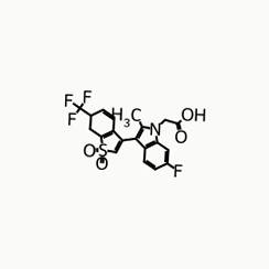 Cc1c(C2=CS(=O)(=O)C3=C2C=CC(C(F)(F)F)C3)c2ccc(F)cc2n1CC(=O)O